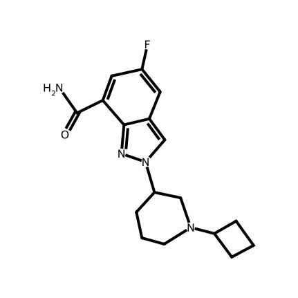 NC(=O)c1cc(F)cc2cn(C3CCCN(C4CCC4)C3)nc12